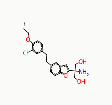 CCCOc1ccc(CCc2ccc3oc(C(N)(CO)CO)cc3c2)cc1Cl